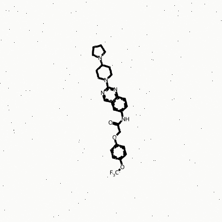 O=C(COc1ccc(OC(F)(F)F)cc1)Nc1ccc2nc(N3CCC(N4CCCC4)CC3)ncc2c1